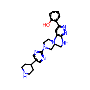 Oc1ccccc1-c1cc2c(nn1)NCC1CN(c3ncc(C4CCNCC4)cn3)CCN21